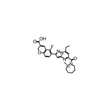 CCc1cc(C(=O)N2CCCCC[C@H]2C)nc2cc(-c3ccc4c(c3F)C=C(C(=O)O)CO4)nn12